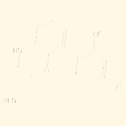 NC[C@@H]1CNc2cccc(-c3ccc(Cl)cc3C(F)(F)F)c2O1